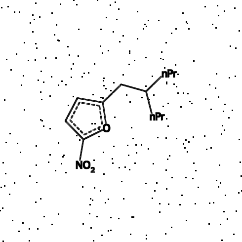 CCCC(CCC)Cc1ccc([N+](=O)[O-])o1